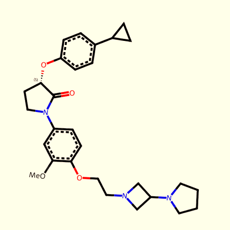 COc1cc(N2CC[C@H](Oc3ccc(C4CC4)cc3)C2=O)ccc1OCCN1CC(N2CCCC2)C1